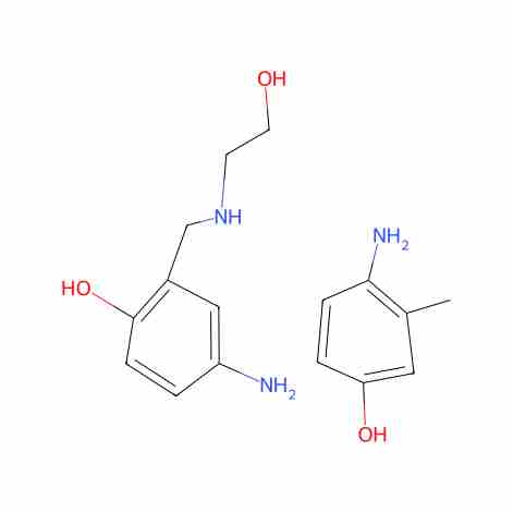 Cc1cc(O)ccc1N.Nc1ccc(O)c(CNCCO)c1